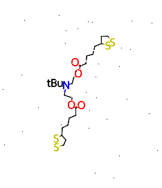 CC(C)(C)N(CCOC(=O)CCCCC1CCSS1)CCOC(=O)CCCCC1CCSS1